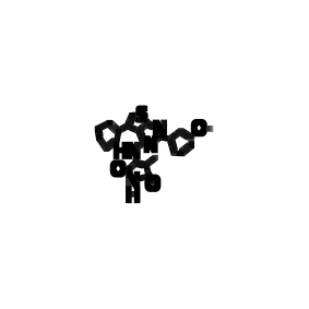 COc1cccc(-c2nc(NC3=C(C)C(=O)NC3=O)c3c(-c4ccccc4)csc3n2)c1